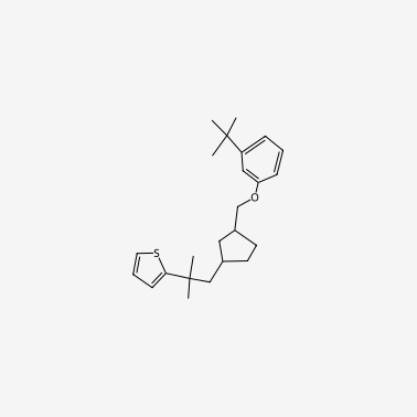 CC(C)(C)c1cccc(OCC2CCC(CC(C)(C)c3cccs3)C2)c1